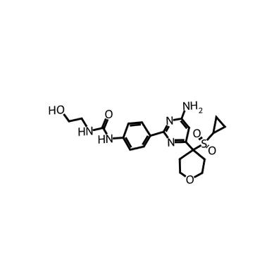 Nc1cc(C2(S(=O)(=O)C3CC3)CCOCC2)nc(-c2ccc(NC(=O)NCCO)cc2)n1